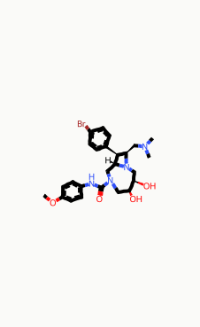 COc1ccc(NC(=O)N2C[C@H](O)[C@H](O)CN3[C@H](CN(C)C)[C@H](c4ccc(Br)cc4)[C@@H]3C2)cc1